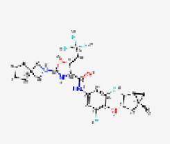 O=C(Nc1cc(F)c(O[C@@H]2CC3C[C@@H]3C2)c(F)c1)c1nc(N2CC3(CCCC3)C2)oc1CC(F)(F)F